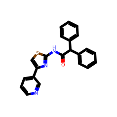 O=C(Nc1nc(-c2cccnc2)cs1)C(c1ccccc1)c1ccccc1